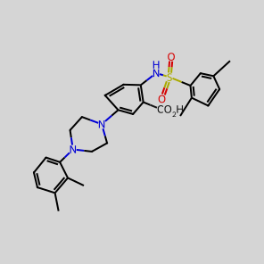 Cc1ccc(C)c(S(=O)(=O)Nc2ccc(N3CCN(c4cccc(C)c4C)CC3)cc2C(=O)O)c1